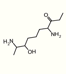 CCC(=O)C(N)CCCC(O)C(C)N